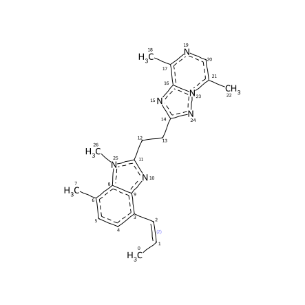 C/C=C\c1ccc(C)c2c1nc(CCc1nc3c(C)ncc(C)n3n1)n2C